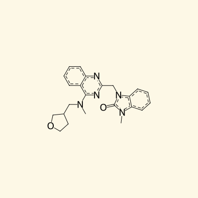 CN(CC1CCOC1)c1nc(Cn2c(=O)n(C)c3ccccc32)nc2ccccc12